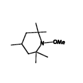 CON1C(C)(C)CC(C)CC1(C)C